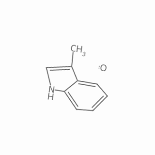 Cc1c[nH]c2ccccc12.[O]